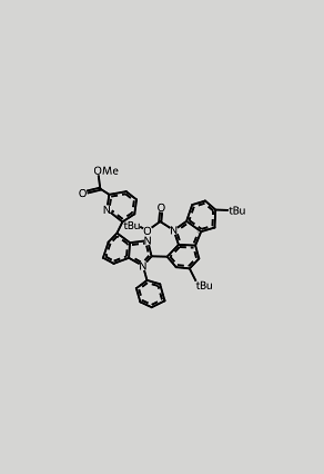 COC(=O)c1cccc(-c2cccc3c2nc(-c2cc(C(C)(C)C)cc4c5cc(C(C)(C)C)ccc5n(C(=O)OC(C)(C)C)c24)n3-c2ccccc2)n1